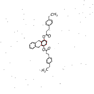 CCc1ccc(CCC(=O)Oc2ccc(OC(=O)CCc3ccc(CC)cc3)c3c2C2c4ccccc4C3c3ccccc32)cc1